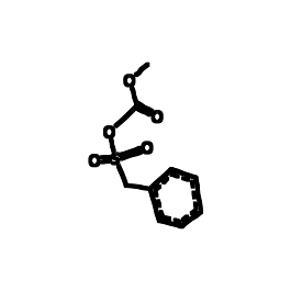 COC(=O)OS(=O)(=O)Cc1ccccc1